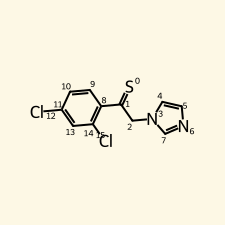 S=C(Cn1ccnc1)c1ccc(Cl)cc1Cl